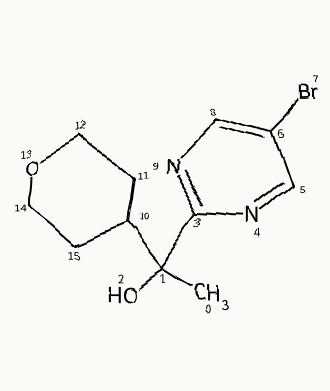 CC(O)(c1ncc(Br)cn1)C1CCOCC1